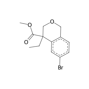 CCC1(C(=O)OC)COCc2ccc(Br)cc21